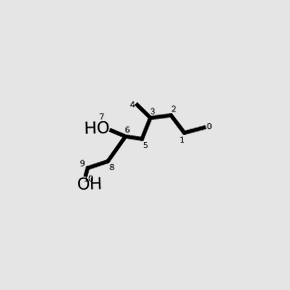 CCCC(C)CC(O)CCO